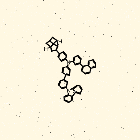 c1cc(-c2cccc3ccccc23)cc(N(c2ccc(-c3cccc(-n4c5ccccc5c5ccccc54)c3)cc2)c2ccc(C34C[C@@H]5CC6C[C@@H](C3)C65C4)cc2)c1